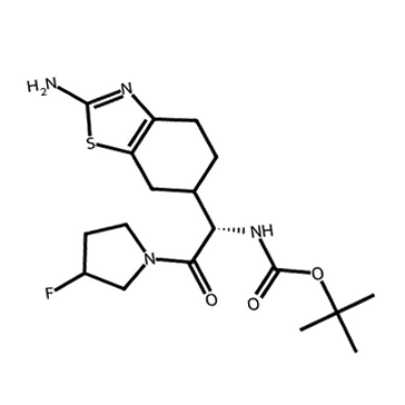 CC(C)(C)OC(=O)N[C@H](C(=O)N1CCC(F)C1)C1CCc2nc(N)sc2C1